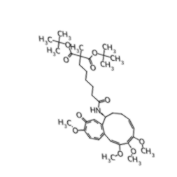 COC1=Cc2ccc(OC)c(=O)cc2[C@@H](NC(=O)CCCCCC(C)(C(=O)OC(C)(C)C)C(=O)OC(C)(C)C)CCC=CC(OC)=C1OC